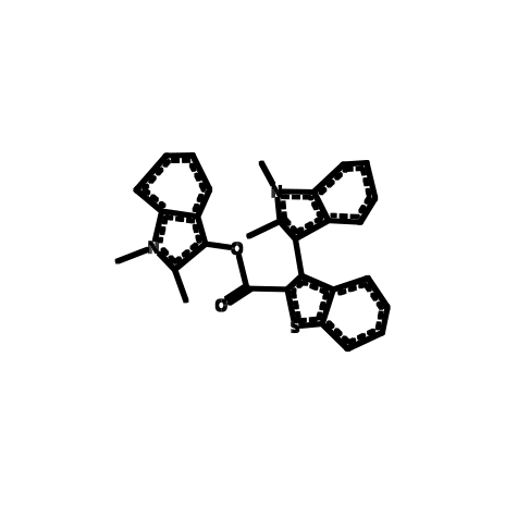 Cc1c(OC(=O)c2sc3ccccc3c2-c2c(C)n(C)c3ccccc23)c2ccccc2n1C